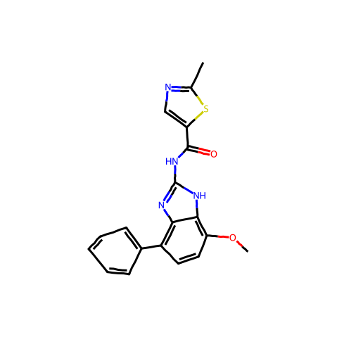 COc1ccc(-c2ccccc2)c2nc(NC(=O)c3cnc(C)s3)[nH]c12